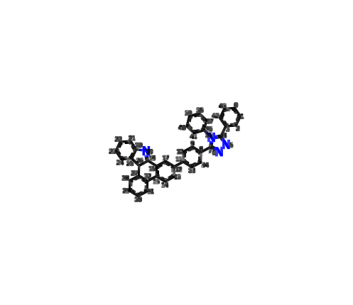 c1ccc(-c2nnc(-c3ccc(-c4ccc5c(c4)C4=Nc6ccccc6C4c4ccccc4-5)cc3)n2-c2ccccc2)cc1